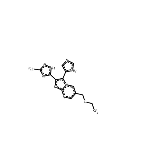 FC(F)(F)COCc1cnc2nc(-c3nc(C(F)(F)F)n[nH]3)c(-c3cnc[nH]3)n2c1